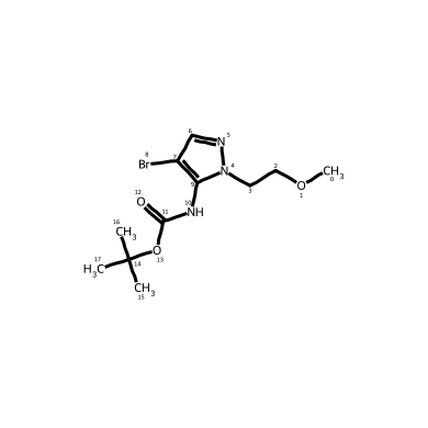 COCCn1ncc(Br)c1NC(=O)OC(C)(C)C